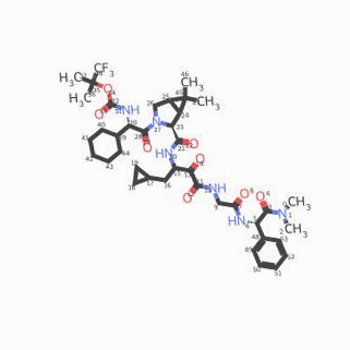 CN(C)C(=O)[C@@H](NC(=O)CNC(=O)C(=O)C(CC1CC1)NC(=O)[C@@H]1C2C(CN1C(=O)[C@@H](NC(=O)OC(C)(C)C(F)(F)F)C1CCCCC1)C2(C)C)c1ccccc1